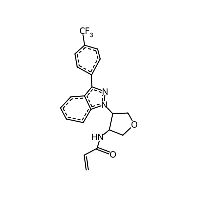 C=CC(=O)NC1COCC1n1nc(-c2ccc(C(F)(F)F)cc2)c2ccccc21